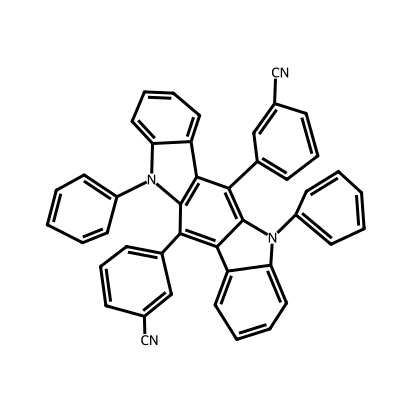 N#Cc1cccc(-c2c3c4ccccc4n(-c4ccccc4)c3c(-c3cccc(C#N)c3)c3c4ccccc4n(-c4ccccc4)c23)c1